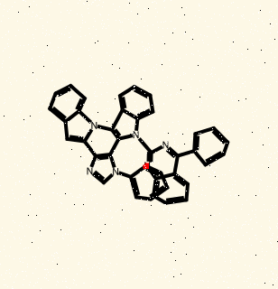 c1ccc(-c2nc(-n3c4ccccc4c4c3c3c(ncn3-c3ccccc3)c3cc5ccccc5n34)nc3ccccc23)cc1